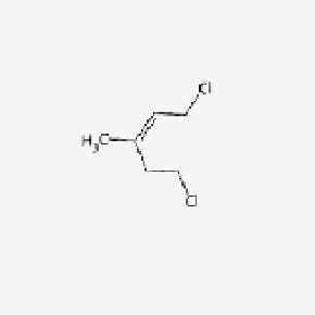 CC(=CCCl)CCCl